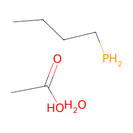 CC(=O)O.CCCCP.O